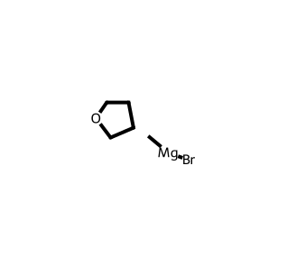 C1CCOC1.[CH3][Mg][Br]